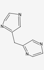 c1cnc(Cc2cnccn2)cn1